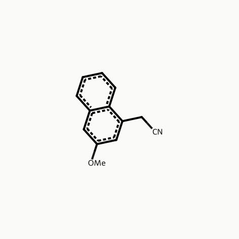 COc1cc(CC#N)c2ccccc2c1